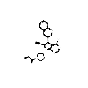 C#Cc1c(-c2cnc3ccccc3c2)c2c(N)ncnc2n1[C@@H]1CCN(C(=O)C=C)C1